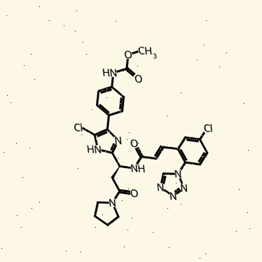 COC(=O)Nc1ccc(-c2nc([C@H](CC(=O)N3CCCC3)NC(=O)C=Cc3cc(Cl)ccc3-n3cnnn3)[nH]c2Cl)cc1